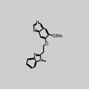 COc1cc2cncnc2cc1OCCc1nc2ccccc2n1C